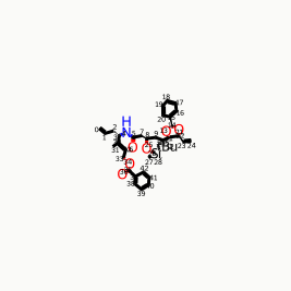 C=CC[C@H](NC(=O)C[C@@H](CC[C@@]1(C)O[C@@H](c2ccccc2)O[C@H]1C=C)O[Si](C)(C)C(C)(C)C)C(C)=CCOC(=O)c1ccccc1